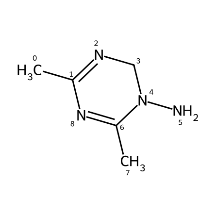 CC1=NCN(N)C(C)=N1